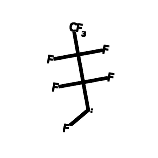 F[C]C(F)(F)C(F)(F)C(F)(F)F